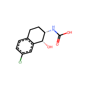 O=C(O)N[C@H]1CCc2ccc(Cl)cc2[C@H]1O